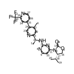 Cc1cc([C@H](C)Nc2nccc(N3C(=O)OC[C@@H]3C(C)C)n2)ncc1-c1ccnc(C(F)(F)F)c1